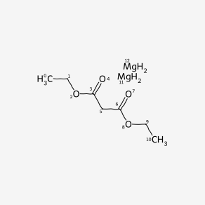 CCOC(=O)CC(=O)OCC.[MgH2].[MgH2]